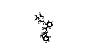 CC(C)N(C(=O)COc1ccccc1C(=O)On1nnc2ccccc21)C(C)C